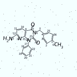 Cc1ccc(Cn2c(=O)c3ccc(N)nc3n(-c3ccccc3)c2=O)cc1